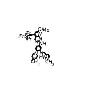 COc1cc(C#C[Si](C(C)C)(C(C)C)C(C)C)c2cnc(Nc3ccc(N4CCN(C)CC4)c(NCc4ccn(C)n4)c3)nc2n1